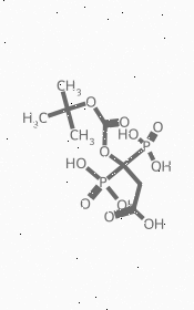 CC(C)(C)OC(=O)OC(CC(=O)O)(P(=O)(O)O)P(=O)(O)O